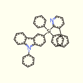 c1ccc(-c2cccnc2[Si](c2ccccc2)(c2ccccc2)c2ccc3c(c2)c2ccccc2n3-c2ccccc2)cc1